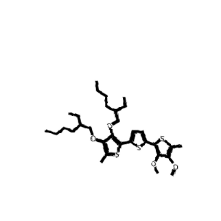 CCCCC(CC)COc1c(C)sc(-c2ccc(-c3sc(C)c(OC)c3OC)s2)c1OCC(CC)CCCC